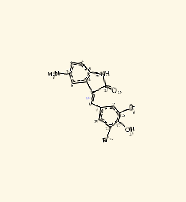 Nc1ccc2c(c1)/C(=C/c1cc(Br)c(O)c(Br)c1)C(=O)N2